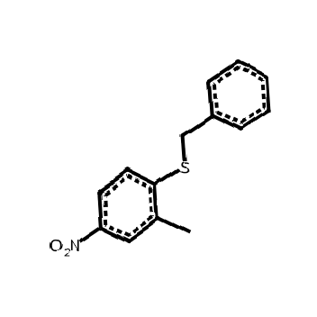 Cc1cc([N+](=O)[O-])ccc1SCc1ccccc1